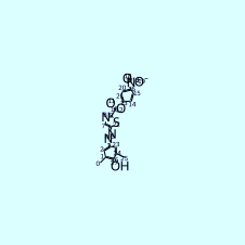 Cc1cc(/N=N/c2cnc(C(=O)Oc3ccc([N+](=O)[O-])cc3)s2)cc(C)c1O